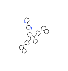 c1ccc(-c2ccc(-c3ccc4c(-c5ccc(-c6cccc7ccccc67)cc5)c5ccccc5c(-c5ccc(-c6cccc7ccccc67)cc5)c4c3)nc2)nc1